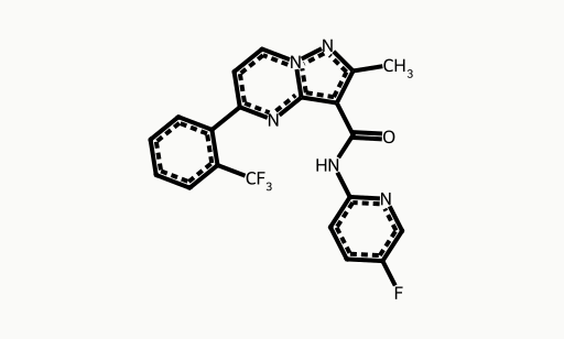 Cc1nn2ccc(-c3ccccc3C(F)(F)F)nc2c1C(=O)Nc1ccc(F)cn1